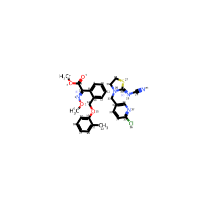 CO/N=C(/C(=O)OC)c1ccccc1COc1ccccc1C.N#C/N=C1\SCCN1Cc1ccc(Cl)nc1